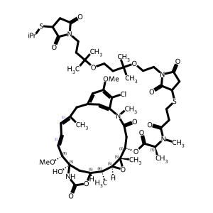 COc1cc2cc(c1Cl)N(C)C(=O)C[C@H](OC(=O)[C@H](C)N(C)C(=O)CCSC1CC(=O)N(CCOC(C)(C)CCOC(C)(C)CCN3C(=O)CC(SC(C)C)C3=O)C1=O)[C@]1(C)O[C@H]1[C@H](C)[C@@H]1C[C@@](O)(NC(=O)O1)[C@H](OC)/C=C/C=C(\C)C2